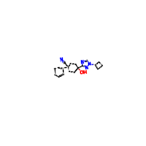 N#CC1(c2ccccc2)CCC(O)(c2ncn(C3CCC3)n2)CC1